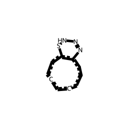 c1ccccc2c(ccc1)N=NNS2